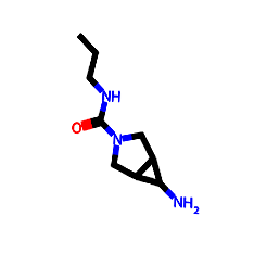 CCCNC(=O)N1CC2C(N)C2C1